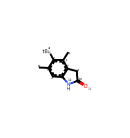 Cc1cc2c(c(C)c1C(C)(C)C)CC(=O)N2